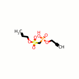 C#CCOP(=O)(O)CS(=O)(=O)OCC=C